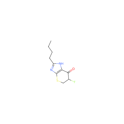 CCCCc1nc2c([nH]1)C(=O)C(F)CS2